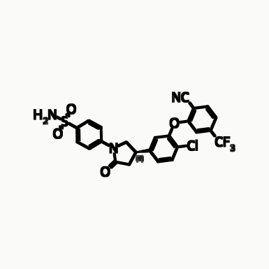 N#Cc1ccc(C(F)(F)F)cc1Oc1cc([C@H]2CC(=O)N(c3ccc(S(N)(=O)=O)cc3)C2)ccc1Cl